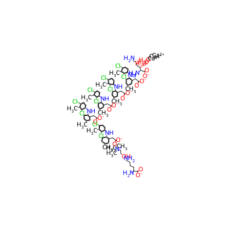 C[N+](C)(C)CCO.Cc1ccc(Nc2ccc(Cl)c(C)c2Cl)c(CC(=O)[O-])c1.Cc1ccc(Nc2ccc(Cl)c(C)c2Cl)c(CC(=O)[O-])c1.Cc1ccc(Nc2ccc(Cl)c(C)c2Cl)c(CC(=O)[O-])c1.Cc1ccc(Nc2ccc(Cl)c(C)c2Cl)c(CC(=O)[O-])c1.Cc1ccc(Nc2ccc(Cl)c(C)c2Cl)c(CC(=O)[O-])c1.NCCCC[C@H](N)C(=O)[O-].NCCCC[C@H](N)C(=O)[O-].O.O.O.[Ca+2].[Ca+2].[Ca+2]